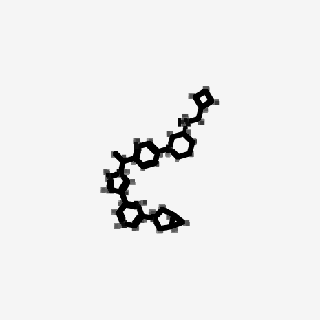 CC(c1ccc(N2CCC[C@@H](NCC3CCC3)C2)cn1)n1cc(-c2cncc(N3CC4CC4C3)n2)nn1